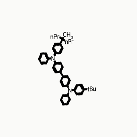 CCCC(C)(CCC)c1ccc(N(c2ccccc2)c2ccc(-c3ccc(N(c4ccccc4)c4ccc(C(C)(C)C)cc4)cc3)cc2)cc1